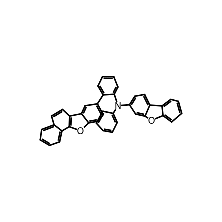 c1ccc(N(c2ccc3c(c2)oc2ccccc23)c2ccccc2-c2ccc3oc4c5ccccc5ccc4c3c2)cc1